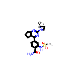 C[C@H]1CCN1c1nc2c(c(-c3ccc(C(N)=O)c(NS(C)(=O)=O)c3)n1)CCC2